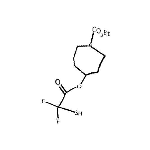 CCOC(=O)N1CCC(OC(=O)C(F)(F)S)CC1